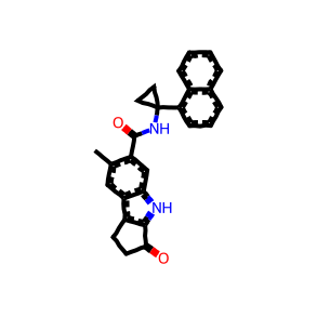 Cc1cc2c3c([nH]c2cc1C(=O)NC1(c2cccc4ccccc24)CC1)C(=O)CC3